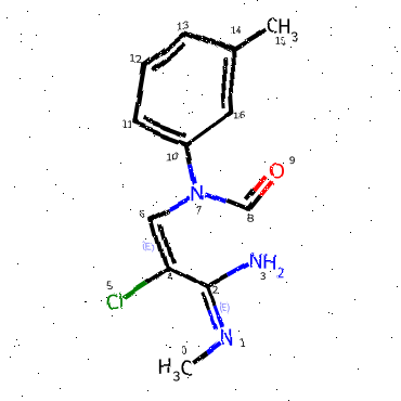 C/N=C(N)\C(Cl)=C/N(C=O)c1cccc(C)c1